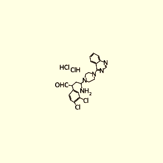 Cl.Cl.NC(CC(C=O)c1ccc(Cl)c(Cl)c1)N1CCN(c2ncnc3ccccc23)CC1